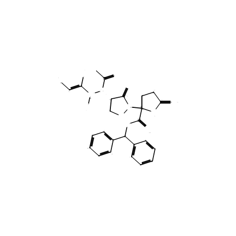 CC(=O)N([C@H]1CON(C2(C(=O)OC(c3ccccc3)c3ccccc3)CCC(=O)O2)C1=O)[S+]([O-])C(Cl)=CCl